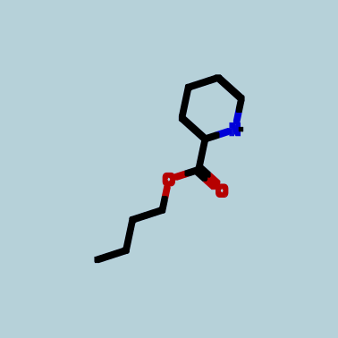 CCCCOC(=O)C1CCCC[N]1